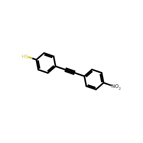 O=[N+]([O-])c1ccc(C#Cc2ccc(S)cc2)cc1